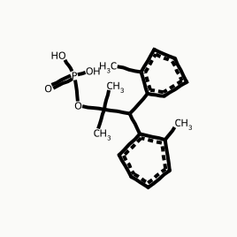 Cc1ccccc1C(c1ccccc1C)C(C)(C)OP(=O)(O)O